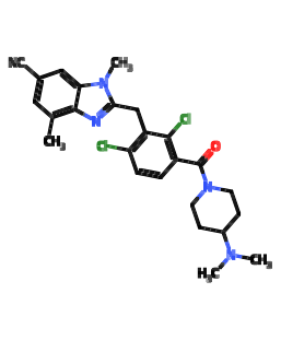 Cc1cc(C#N)cc2c1nc(Cc1c(Cl)ccc(C(=O)N3CCC(N(C)C)CC3)c1Cl)n2C